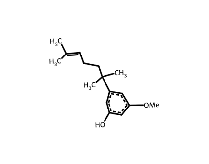 COc1cc(O)cc(C(C)(C)CCC=C(C)C)c1